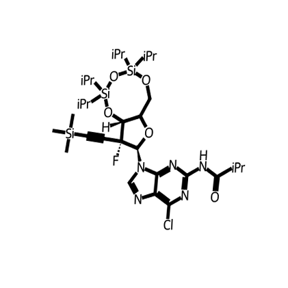 CC(C)C(=O)Nc1nc(Cl)c2ncn([C@@H]3OC4CO[Si](C(C)C)(C(C)C)O[Si](C(C)C)(C(C)C)O[C@H]4[C@]3(F)C#C[Si](C)(C)C)c2n1